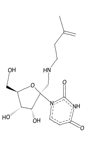 C=C(C)CCNC[C@@]1(n2ccc(=O)[nH]c2=O)O[C@H](CO)[C@@H](O)[C@H]1O